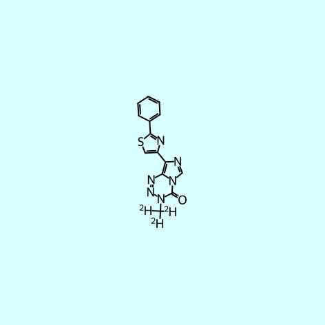 [2H]C([2H])([2H])n1nnc2c(-c3csc(-c4ccccc4)n3)ncn2c1=O